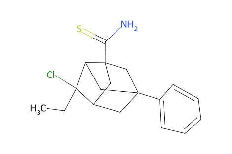 CCC1(Cl)C2CC3(c4ccccc4)CC1C(C(N)=S)(C2)C3